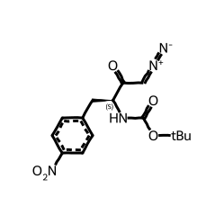 CC(C)(C)OC(=O)N[C@@H](Cc1ccc([N+](=O)[O-])cc1)C(=O)C=[N+]=[N-]